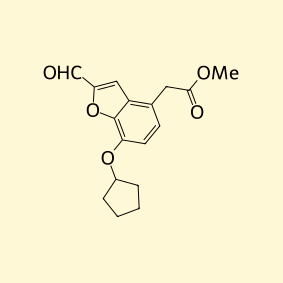 COC(=O)Cc1ccc(OC2CCCC2)c2oc(C=O)cc12